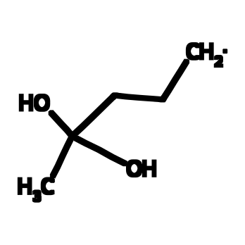 [CH2]CCC(C)(O)O